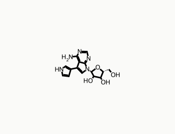 Nc1ncnc2c1c(-c1cc[nH]c1)cn2[C@@H]1O[C@H](CO)C(O)C1O